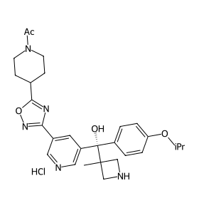 CC(=O)N1CCC(c2nc(-c3cncc([C@@](O)(c4ccc(OC(C)C)cc4)C4(C)CNC4)c3)no2)CC1.Cl